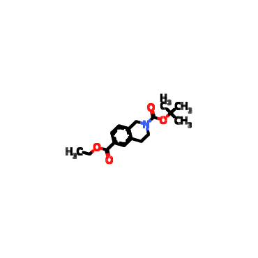 CCOC(=O)c1ccc2c(c1)CCN(C(=O)OC(C)(C)C)C2